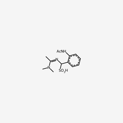 CC(=O)Nc1ccccc1C(N=C(C)N(C)C)S(=O)(=O)O